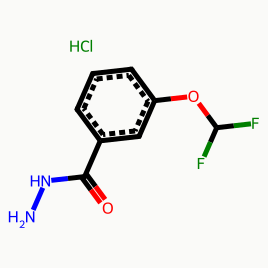 Cl.NNC(=O)c1cccc(OC(F)F)c1